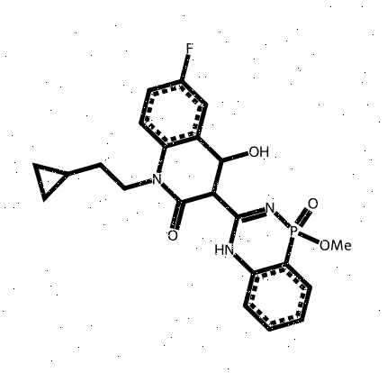 COP1(=O)N=C(C2C(=O)N(CCC3CC3)c3ccc(F)cc3C2O)Nc2ccccc21